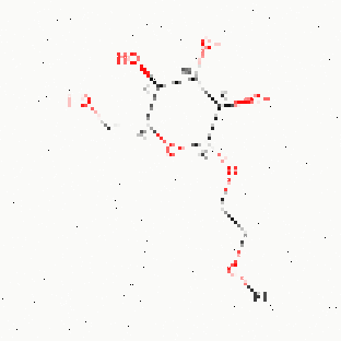 [CH2]COCCO[C@@H]1O[C@H](CO)[C@@H](O)[C@H](O)[C@H]1O